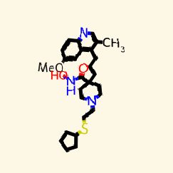 COc1ccc2ncc(C)c(CCCC3(C(=O)NO)CCN(CCSC4CCCC4)CC3)c2c1